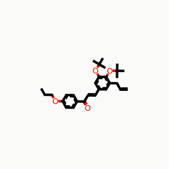 C=CCc1cc(/C=C/C(=O)c2ccc(OCCC)cc2)cc(OC(C)(C)C)c1OC(C)(C)C